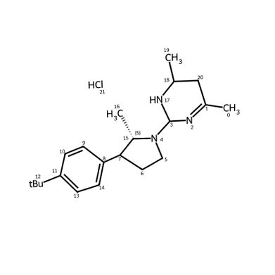 CC1=NC(N2CCC(c3ccc(C(C)(C)C)cc3)[C@@H]2C)NC(C)C1.Cl